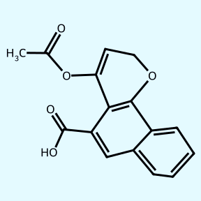 CC(=O)OC1=CCOc2c1c(C(=O)O)cc1ccccc21